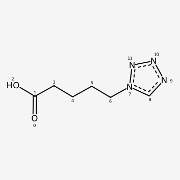 O=C(O)CCCCn1cnnn1